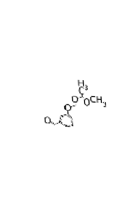 COC(C)OCOc1cccc(C=O)c1